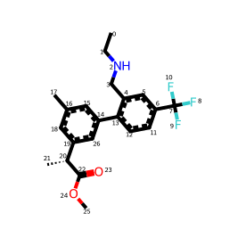 CCNCc1cc(C(F)(F)F)ccc1-c1cc(C)cc([C@@H](C)C(=O)OC)c1